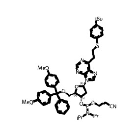 COc1ccc(C(OC[C@H]2O[C@@H](n3cnc4c(CCSc5ccc(C(C)(C)C)cc5)ncnc43)C[C@@H]2OP(OCCC#N)N(C(C)C)C(C)C)(c2ccccc2)c2ccc(OC)cc2)cc1